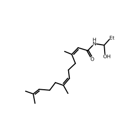 CCC(O)NC(=O)C=C(C)CCC=C(C)CCC=C(C)C